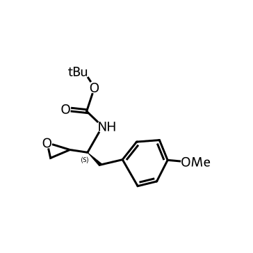 COc1ccc(C[C@H](NC(=O)OC(C)(C)C)C2CO2)cc1